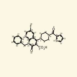 O=C(O)c1c(N2CCN(C(=O)c3cccs3)CC2)c2cc(F)cnc2n(Cc2ccccc2)c1=O